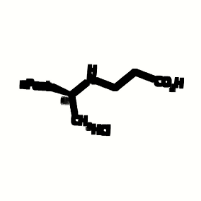 CCCCC[C@H](C)NCCC(=O)O.Cl